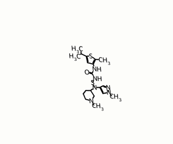 Cc1sc(C(C)C)cc1NC(=O)NSN(c1cnn(C)c1)C1CCCN(C)C1